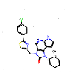 C[C@@H]1CCCC[C@@H]1n1c(=O)n(Cc2csc(-c3ccc(Cl)cc3)n2)c2cnc3[nH]ccc3c21